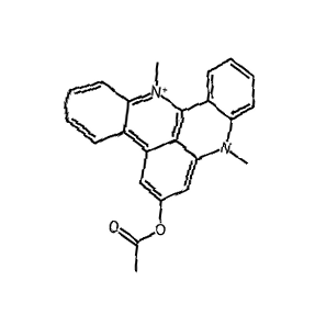 CC(=O)Oc1cc2c3c([n+](C)c4ccccc4c3c1)-c1ccccc1N2C